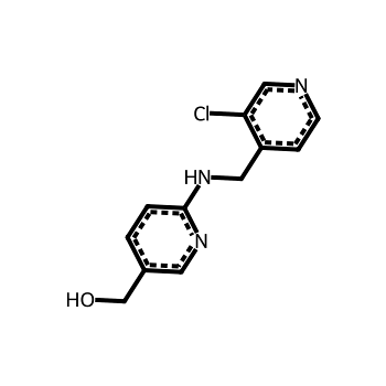 OCc1ccc(NCc2ccncc2Cl)nc1